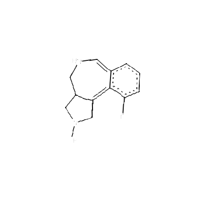 CN1CC2=c3c(F)cccc3=CNCC2C1